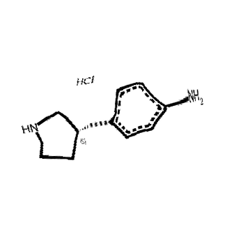 Cl.Nc1ccc([C@@H]2CCNC2)cc1